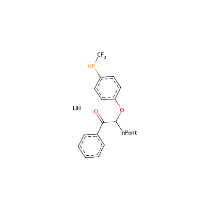 CCCCCC(Oc1ccc(PC(F)(F)F)cc1)C(=O)c1ccccc1.[LiH]